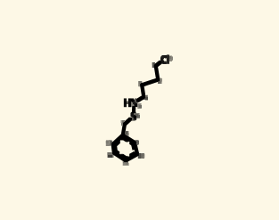 ClCCCCNSCc1ccccc1